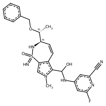 C[C@@H](OCc1ccccc1)[C@H]1C=Cc2c(cn(C)c2C(O)Nc2cc(F)nc(C#N)c2)S(=N)(=O)N1